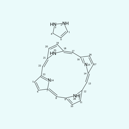 C1=CNNC1.C1=Cc2cc3ccc(cc4nc(cc5ccc(cc1n2)[nH]5)C=C4)[nH]3